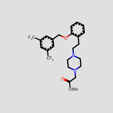 COC(=O)CN1CCN(CCc2ccccc2OCc2cc(C(F)(F)F)cc(C(F)(F)F)c2)CC1